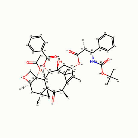 CC(=O)O[C@@]12CO[C@@H]1C[C@@H]1C[C@@]13C(=O)[C@H](C)C1=C(C)[C@@H](OC(=O)[C@H](C)[C@@H](NC(=O)OC(C)(C)C)c4ccccc4)C[C@@](O)([C@@H](OC(=O)c4ccccc4)[C@H]23)C1(C)C